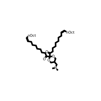 CCCCCCCC/C=C\CCCCCCCC(=O)C1(C(=O)CCCCCCC/C=C\CCCCCCCC)OCC(CN(C)C)CO1